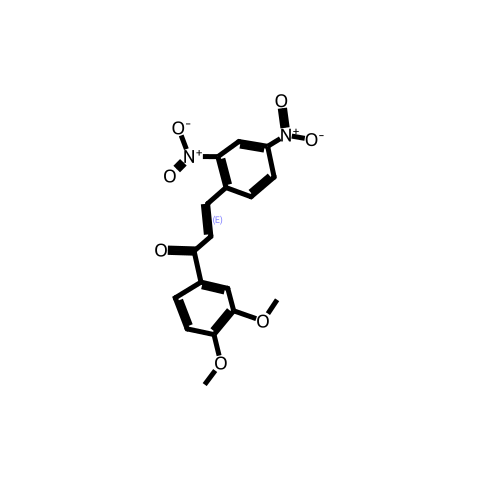 COc1ccc(C(=O)/C=C/c2ccc([N+](=O)[O-])cc2[N+](=O)[O-])cc1OC